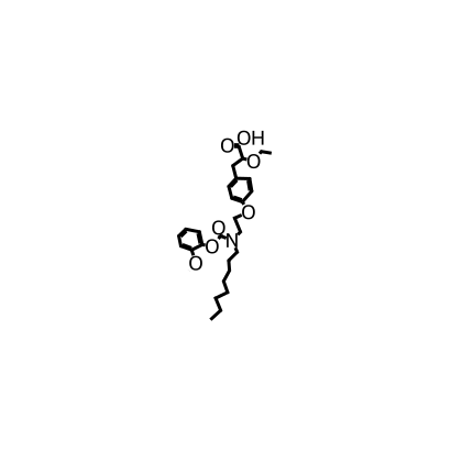 CCCCCCCCN(CCOc1ccc(CC(OCC)C(=O)O)cc1)C(=O)Oc1ccccc1OC